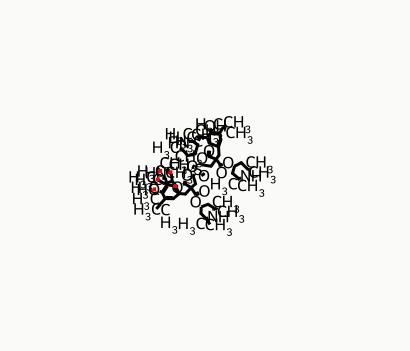 CC1(C)CC(OC(=O)C(CCS(=O)(=O)CCC(Cc2cc(C(C)(C)C)c(O)c(C(C)(C)C)c2)(C(=O)OC2CC(C)(C)NC(C)(C)C2)C(=O)OC2CC(C)(C)NC(C)(C)C2)(Cc2cc(C(C)(C)C)c(O)c(C(C)(C)C)c2)C(=O)OC2CC(C)(C)NC(C)(C)C2)CC(C)(C)N1